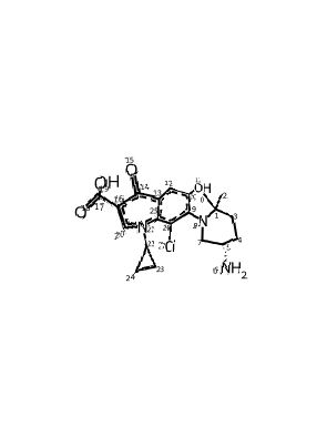 CC1(C)CC[C@H](N)CN1c1c(O)cc2c(=O)c(C(=O)O)cn(C3CC3)c2c1Cl